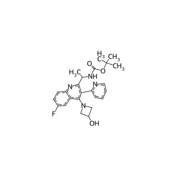 CC(NC(=O)OC(C)(C)C)c1nc2ccc(F)cc2c(N2CC(O)C2)c1-c1ccccn1